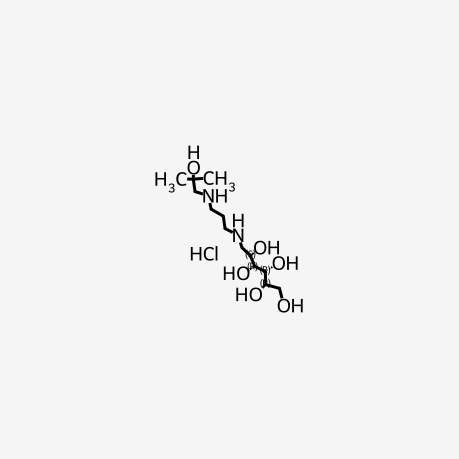 CC(C)(O)CNCCCNC[C@H](O)[C@@H](O)[C@H](O)[C@H](O)CO.Cl